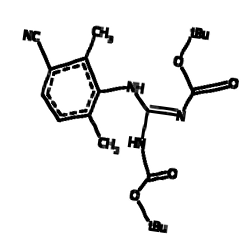 Cc1ccc(C#N)c(C)c1NC(=NC(=O)OC(C)(C)C)NC(=O)OC(C)(C)C